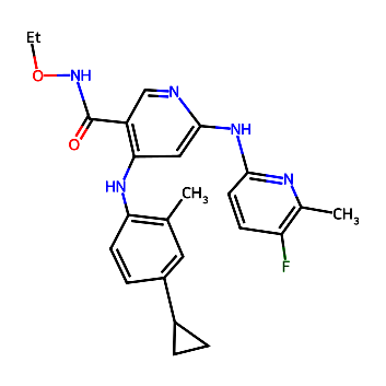 CCONC(=O)c1cnc(Nc2ccc(F)c(C)n2)cc1Nc1ccc(C2CC2)cc1C